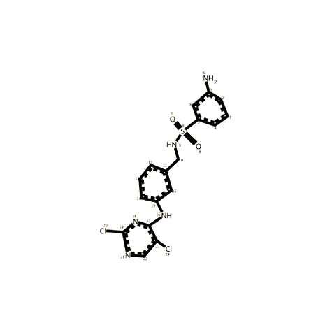 Nc1cccc(S(=O)(=O)NCc2cccc(Nc3nc(Cl)ncc3Cl)c2)c1